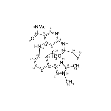 CNC(=O)c1nnc(NC(=O)C2CC2)cc1Nc1cccc(-c2nc(C)n(C)n2)c1C